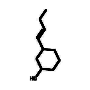 CCC=CC1CCCC(O)C1